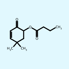 CCCC(=O)OC1CC(C)(C)C=CC1=O